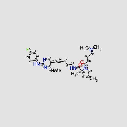 CNc1nc(Nc2ccc(F)cc2)ncc1C#CCCCNC(=O)[C@]1(C)C[C@H](C)CN1C(=O)/C=C/CN(C)C